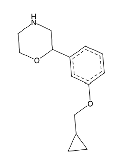 c1cc(OCC2CC2)cc(C2CNCCO2)c1